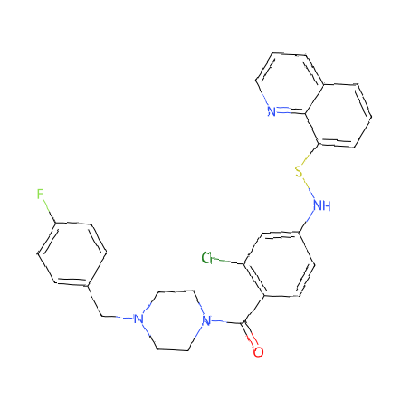 O=C(c1ccc(NSc2cccc3cccnc23)cc1Cl)N1CCN(Cc2ccc(F)cc2)CC1